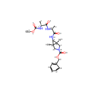 C[C@H](NC(=O)OC(C)(C)C)C(=O)N[C@@H](C)C(=O)N[C@H]1[C@@H]2CN(C(=O)OCc3ccccc3)C[C@@H]21